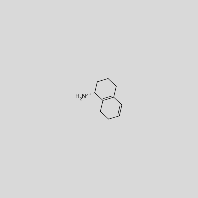 N[C@@H]1CCCC2=C1CCC=C2